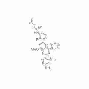 COc1cc(-c2cccc(N[S+]([O-])CCCF)c2F)cc2c(N3CCOCC3)nc(-c3cnc(N)cc3C(F)(F)F)nc12